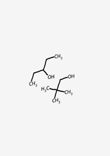 CC(C)(C)CO.CCC(O)CC